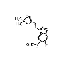 CC1(C)CC(SCc2noc3cc(F)c(NC=O)cc23)=NO1